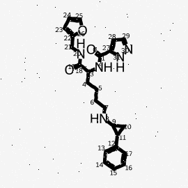 O=C(NC(CCCCNC1CC1c1ccccc1)C(=O)NCc1ccco1)c1ccn[nH]1